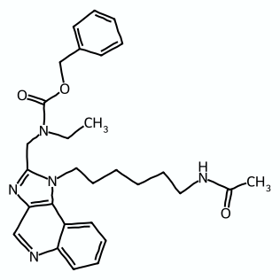 CCN(Cc1nc2cnc3ccccc3c2n1CCCCCCNC(C)=O)C(=O)OCc1ccccc1